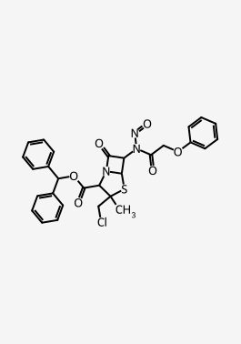 CC1(CCl)SC2C(N(N=O)C(=O)COc3ccccc3)C(=O)N2C1C(=O)OC(c1ccccc1)c1ccccc1